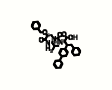 CC(C)CN(C[C@H](OCc1ccccc1)C(N)=O)C(=O)N[C@H](C(=O)O)C(Cc1ccccc1)c1ccc(-c2ccccc2)cc1